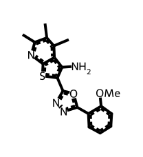 COc1ccccc1-c1nnc(-c2sc3nc(C)c(C)c(C)c3c2N)o1